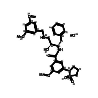 CCOc1cc(C(=O)N[C@@H](Cc2ccccc2)[C@H](O)CNCc2cc(OC)cc(OC)c2)cc(N2CCCS2(=O)=O)c1.Cl